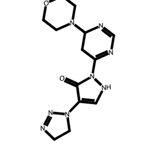 O=c1c(N2CCN=N2)c[nH]n1C1=NC=NC(N2CCOCC2)C1